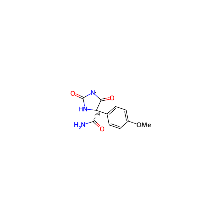 COc1ccc([C@@]2(C(N)=O)NC(=O)[N]C2=O)cc1